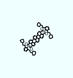 O=C1c2ccc3c4ccc5c6ccc7c8c(ccc(c9ccc(c%10ccc(c2c3%10)C(=O)N1c1c(CCC2CCCCC2)cccc1CCC1CCCCC1)c4c59)c86)C(=O)N(c1c(CCC2CCCCC2)cccc1CCC1CCCCC1)C7=O